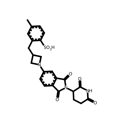 Cc1ccc(S(=O)(=O)O)c(CC2CN(c3ccc4c(c3)C(=O)N(C3CCC(=O)NC3=O)C4=O)C2)c1